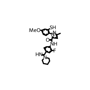 COc1ccc(-n2nc(C)cc2C(=O)Nc2ccc(C(=N)N3CCCCC3)cc2F)c(S)c1